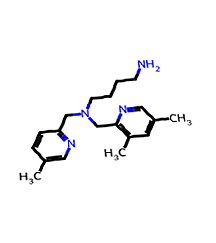 Cc1ccc(CN(CCCCN)Cc2ncc(C)cc2C)nc1